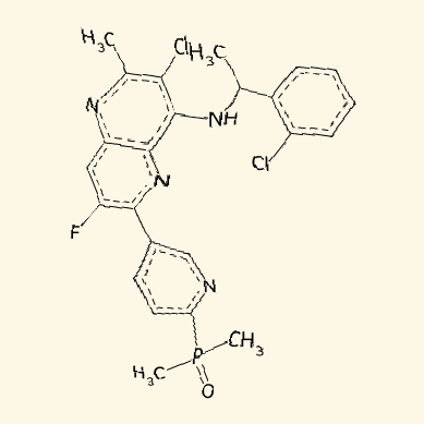 Cc1nc2cc(F)c(-c3ccc(P(C)(C)=O)nc3)nc2c(NC(C)c2ccccc2Cl)c1Cl